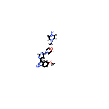 CC(C)Oc1ccc2[nH]nc(-c3cc(N4CCO[C@@H](CCN5CCNCC5)C4)ncn3)c2c1